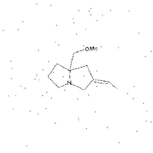 C/C=C1\CN2CCCC2(COC)C1